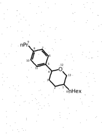 CCCCCCC1CCC(c2ccc(CCC)cc2)OC1